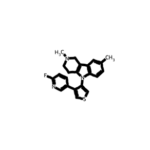 Cc1ccc2c(c1)c1c(n2-c2cscc2-c2ccc(F)nc2)CCN(C)C1